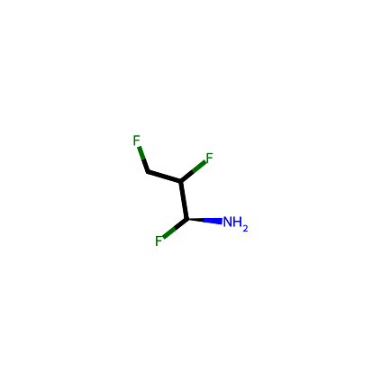 N[C@@H](F)C(F)CF